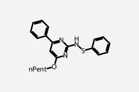 CCCCCOc1cc(-c2ccccc2)nc(NSc2ccccc2)n1